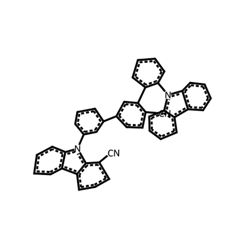 N#Cc1ccc(-c2cccc(-n3c4ccccc4c4cccc(C#N)c43)c2)cc1-c1ccccc1-n1c2ccccc2c2ccccc21